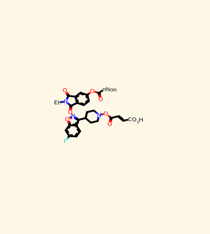 CCCCCCCCCC(=O)Oc1ccc2c(c1)C(=O)N(CC)C2=O.O=C(O)/C=C/C(=O)ON1CCC(c2noc3cc(F)ccc23)CC1